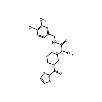 Cc1cc(CNC(=O)N(C)[C@@H]2CCCN(C(=O)c3ncco3)C2)ccc1Cl